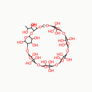 CC(O)C(O)C1OC2OC(O)C(OC3OC(O)C(OC4OC(O)C(OC5OC(O)C(OC6OC(O)C(OC7OC(O)C(OCOC1O)C(O)C7O)C(O)C6O)C(O)C5O)C(O)C4O)C(O)C3O)C(O)C2O